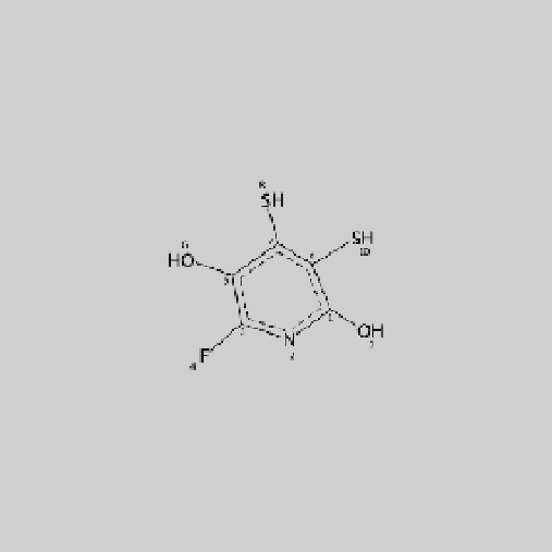 Oc1nc(F)c(O)c(S)c1S